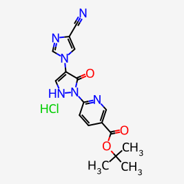 CC(C)(C)OC(=O)c1ccc(-n2[nH]cc(-n3cnc(C#N)c3)c2=O)nc1.Cl